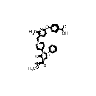 CONC(=O)N1C[C@@H](c2ccccc2)N(C2CCN(Cc3ccc(Oc4ccc(C(=O)O)cc4)nc3C)CC2)C1=O